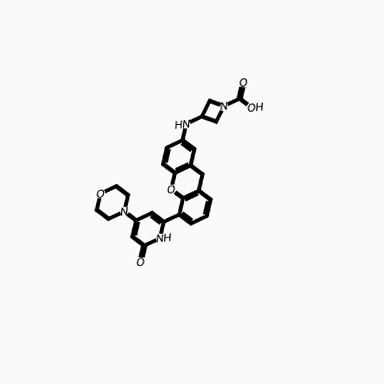 O=C(O)N1CC(Nc2ccc3c(c2)Cc2cccc(-c4cc(N5CCOCC5)cc(=O)[nH]4)c2O3)C1